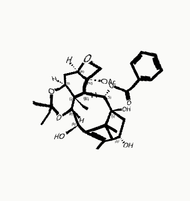 CC(=O)O[C@@]12CO[C@@H]1C[C@@H]1OC(C)(C)O[C@H]3[C@H](O)C4=C(C)[C@@H](O)C[C@@](O)([C@@H](OC(=O)c5ccccc5)[C@H]2[C@@]13C)C4(C)C